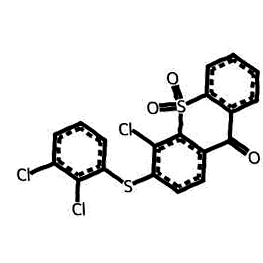 O=C1c2ccccc2S(=O)(=O)c2c1ccc(Sc1cccc(Cl)c1Cl)c2Cl